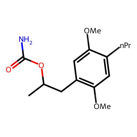 CCCc1cc(OC)c(CC(C)OC(N)=O)cc1OC